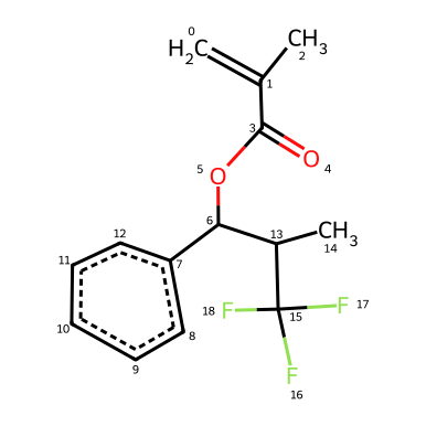 C=C(C)C(=O)OC(c1ccccc1)C(C)C(F)(F)F